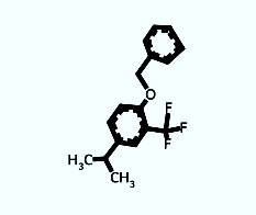 CC(C)c1ccc(OCc2ccccc2)c(C(F)(F)F)c1